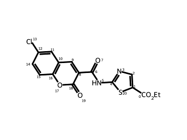 CCOC(=O)c1cnc(NC(=O)c2cc3cc(Cl)ccc3oc2=O)s1